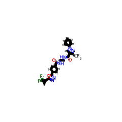 O=C(NCCNC(=O)C1CCC(c2nnc(C3CC3(F)F)o2)CC1)c1cn(-c2ccccc2)nc1C(F)(F)F